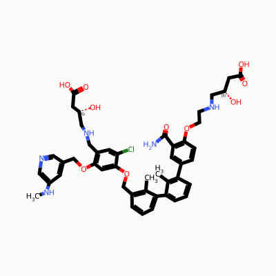 CNc1cncc(COc2cc(OCc3cccc(-c4cccc(-c5ccc(OCCNC[C@@H](O)CC(=O)O)c(C(N)=O)c5)c4C)c3C)c(Cl)cc2CNC[C@@H](O)CC(=O)O)c1